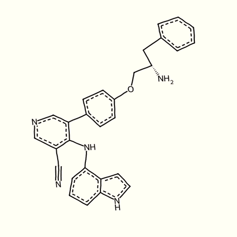 N#Cc1cncc(-c2ccc(OC[C@@H](N)Cc3ccccc3)cc2)c1Nc1cccc2[nH]ccc12